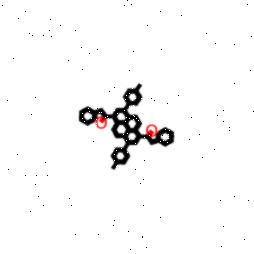 Cc1ccc(-c2cc(-c3cc4ccccc4o3)c3ccc4c(-c5ccc(C)cc5)cc(-c5cc6ccccc6o5)c5ccc2c3c45)cc1